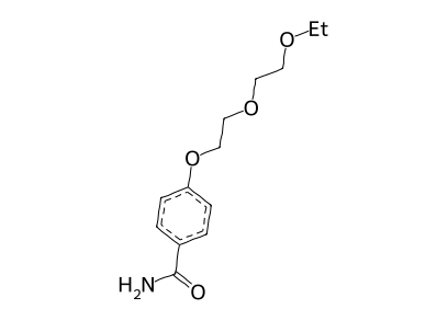 CCOCCOCCOc1ccc(C(N)=O)cc1